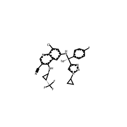 [2H][C@](Nc1cc(Cl)c2ncc(C#N)c(N[C@@H]3C[C@H]3C(F)(F)F)c2c1)(c1ccc(F)cc1)c1cn(C2CC2)nn1